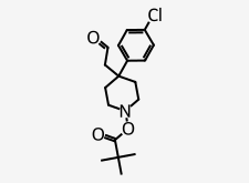 CC(C)(C)C(=O)ON1CCC(CC=O)(c2ccc(Cl)cc2)CC1